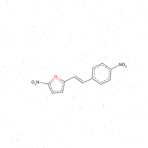 O=[N+]([O-])c1ccc(/C=C/c2ccc([N+](=O)[O-])o2)cc1